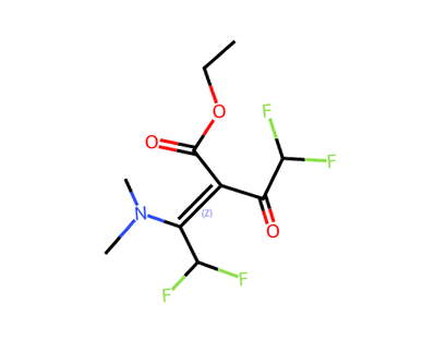 CCOC(=O)/C(C(=O)C(F)F)=C(/C(F)F)N(C)C